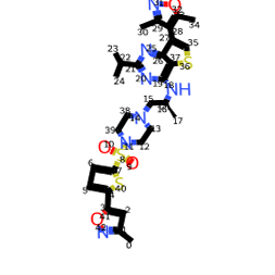 Cc1cc(-c2ccc(S(=O)(=O)N3CCN(C[C@H](C)Nc4nc(C(C)C)nc5c(-c6c(C)noc6C)csc45)CC3)s2)on1